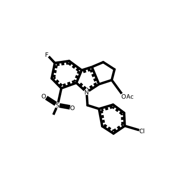 CC(=O)OC1CCc2c1n(Cc1ccc(Cl)cc1)c1c(S(C)(=O)=O)cc(F)cc21